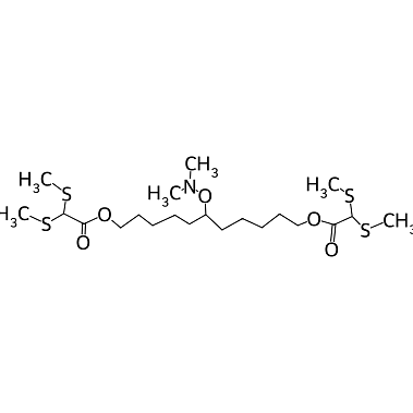 CSC(SC)C(=O)OCCCCCC(CCCCCOC(=O)C(SC)SC)ON(C)C